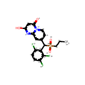 O=c1cc(O)nc2cc(C(c3c(F)ccc(F)c3F)S(=O)(=O)CCC(F)(F)F)ccn12